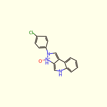 [O-][NH+]1C2=CNc3ccccc3C2=CN1c1ccc(Cl)cc1